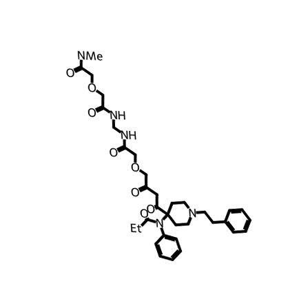 CCC(=O)N(c1ccccc1)C1(C(=O)CC(=O)COCC(=O)NCNC(=O)COCC(=O)NC)CCN(CCc2ccccc2)CC1